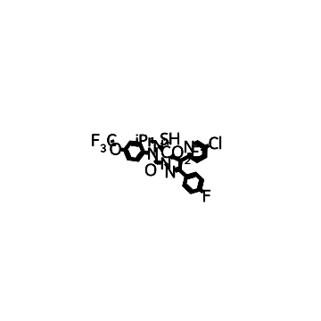 CCOC(=O)[N+](S)(C(C)C)N(C(=O)N1CC(c2ccc(Cl)cn2)C(c2ccc(F)cc2)=N1)c1ccc(OC(F)(F)F)cc1